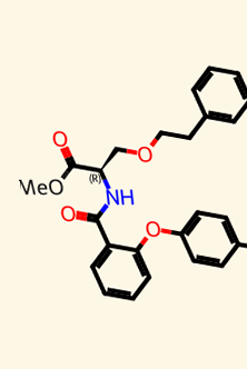 COC(=O)[C@@H](COCCc1ccccc1)NC(=O)c1ccccc1Oc1ccc(Cl)cc1